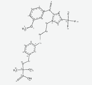 COc1cccc(C(=O)c2nc(C(F)(F)F)cn2CCCCc2cccc(COC(C)(C)C(=O)O)c2)c1